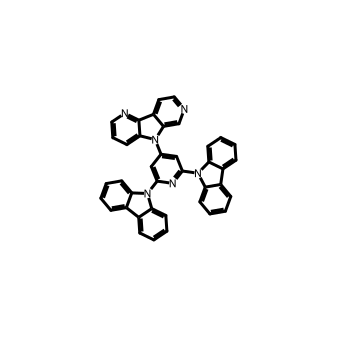 c1ccc2c(c1)c1ccccc1n2-c1cc(-n2c3cnccc3c3ncccc32)cc(-n2c3ccccc3c3ccccc32)n1